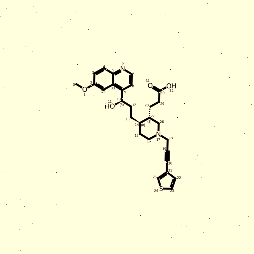 COc1ccc2nccc([C@H](O)CC[C@@H]3CCN(CC#Cc4ccsc4)C[C@H]3CCC(=O)O)c2c1